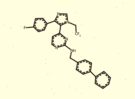 Fc1ccc(-c2ncn(CC(F)(F)F)c2-c2ccnc(NCc3ccc(-c4ccccc4)cc3)n2)cc1